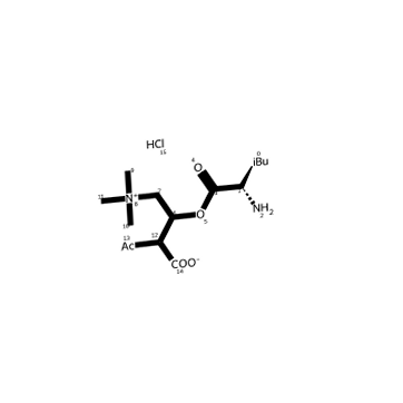 CC[C@H](C)[C@H](N)C(=O)OC(C[N+](C)(C)C)C(C(C)=O)C(=O)[O-].Cl